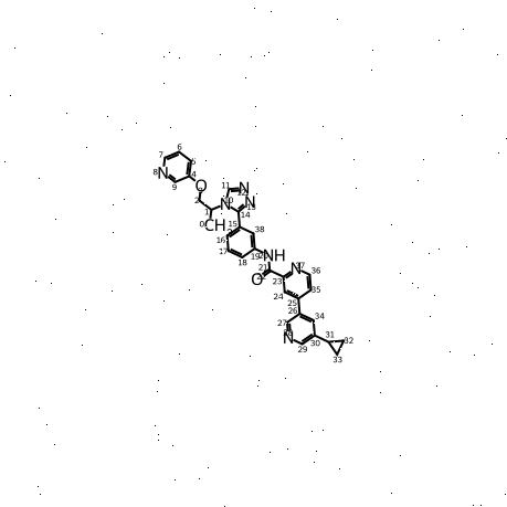 CC(COc1cccnc1)n1cnnc1-c1cccc(NC(=O)c2cc(-c3cncc(C4CC4)c3)ccn2)c1